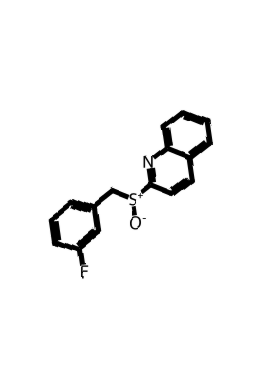 [O-][S+](Cc1cccc(F)c1)c1ccc2ccccc2n1